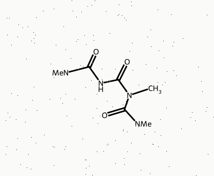 CNC(=O)NC(=O)N(C)C(=O)NC